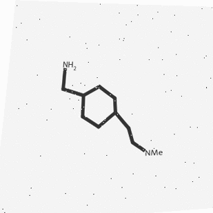 CNCCC1CCC(CN)CC1